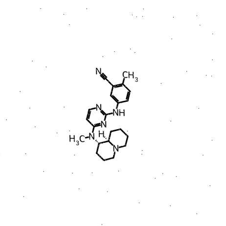 Cc1ccc(Nc2nccc(N(C)[C@H]3CCCN4CCCC[C@H]34)n2)cc1C#N